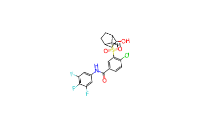 O=C(Nc1cc(F)c(F)c(F)c1)c1ccc(Cl)c(S(=O)(=O)[C@@H]2C3CCC2[C@@H](O)C3)c1